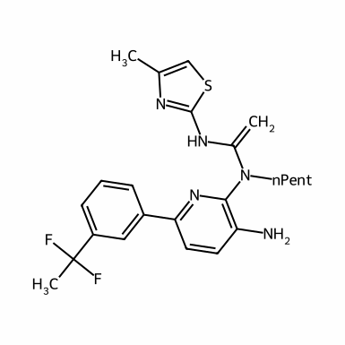 C=C(Nc1nc(C)cs1)N(CCCCC)c1nc(-c2cccc(C(C)(F)F)c2)ccc1N